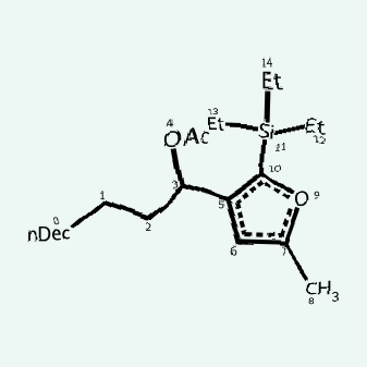 CCCCCCCCCCCCC(OC(C)=O)c1cc(C)oc1[Si](CC)(CC)CC